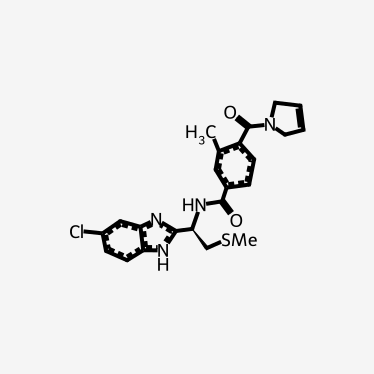 CSC[C@H](NC(=O)c1ccc(C(=O)N2CC=CC2)c(C)c1)c1nc2cc(Cl)ccc2[nH]1